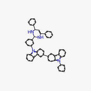 C1=C(c2ccccc2)NC(c2cccc(-n3c4ccccc4c4cc(-c5ccc6c(c5)c5ccccc5n6-c5ccccc5)ccc43)c2)NC1c1ccccc1